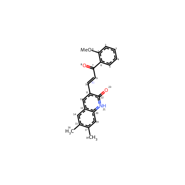 COc1ccccc1C(=O)/C=C/c1cc2cc(C)c(C)cc2[nH]c1=O